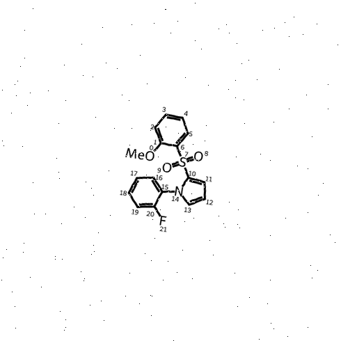 COc1ccccc1S(=O)(=O)c1cccn1-c1ccccc1F